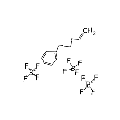 C=CCCCc1ccccc1.F[B-](F)(F)F.F[B-](F)(F)F.F[B-](F)(F)F